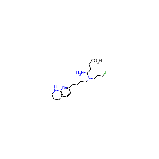 NC(CCC(=O)O)N(CCCF)CCCCc1ccc2c(n1)NCCC2